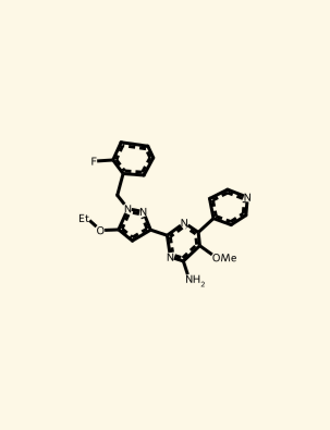 CCOc1cc(-c2nc(N)c(OC)c(-c3ccncc3)n2)nn1Cc1ccccc1F